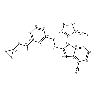 Cn1nnnc1-n1c(SCc2cccc(NCC3CC3)n2)nc2c(Cl)cccc21